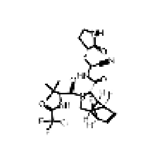 CC(C)(C)[C@H](NC(=O)C(F)(F)Cl)C(=O)N1C[C@H]2[C@@H]([C@H]1C(=O)N[C@H](C#N)C[C@@H]1CCNC1=O)[C@H]1C=C[C@@H]2C1(F)F